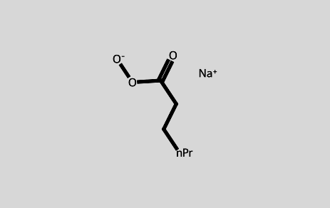 CCCCCC(=O)O[O-].[Na+]